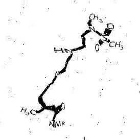 CNC(=O)C(C)CC/N=C/NCCN(C)S(C)(=O)=O